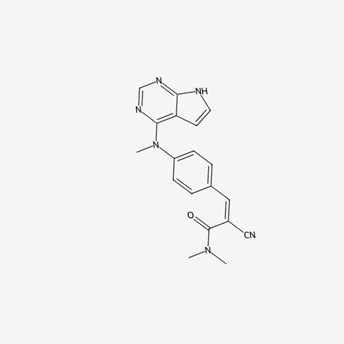 CN(C)C(=O)C(C#N)=Cc1ccc(N(C)c2ncnc3[nH]ccc23)cc1